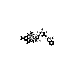 CC(C)c1cc(C(C)C)c(S(=O)(=O)OC([C@H]2O[C@@H](n3cc(COCCc4ccccc4[N+](=O)[O-])c(=O)[nH]c3=O)C[C@@]2(O)[Si](C)(C)C(C)(C)C)[Si](C)(C)C(C)(C)C)c(C(C)C)c1